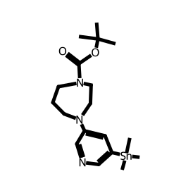 CC(C)(C)OC(=O)N1CCCN(c2cnc[c]([Sn]([CH3])([CH3])[CH3])c2)CC1